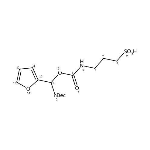 CCCCCCCCCCC(OC(=O)NCCCS(=O)(=O)O)c1ccco1